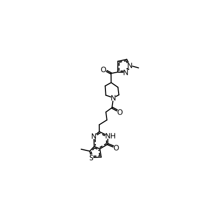 Cc1scc2c(=O)[nH]c(CCCC(=O)N3CCC(C(=O)c4ccn(C)n4)CC3)nc12